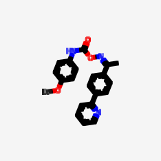 CCOc1ccc(NC(=O)ON=C(C)c2ccc(-c3ccccn3)cc2)cc1